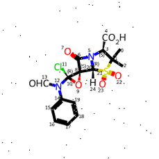 CC1(C)[C@H](C(=O)O)N2C(=O)[C@]3(O[C@]3(Cl)N(C=O)c3ccccc3)[C@H]2S1(=O)=O